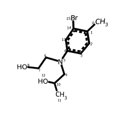 Cc1ccc(N(CCO)CC(C)O)cc1Br